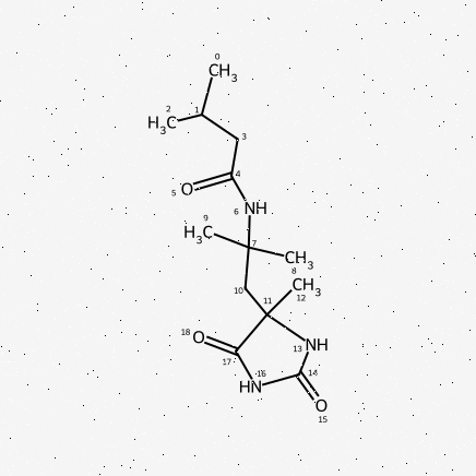 CC(C)CC(=O)NC(C)(C)CC1(C)NC(=O)NC1=O